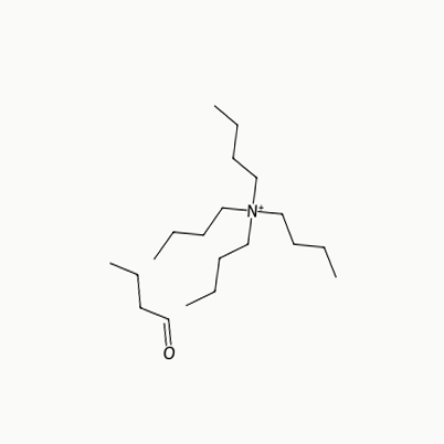 CCCC=O.CCCC[N+](CCCC)(CCCC)CCCC